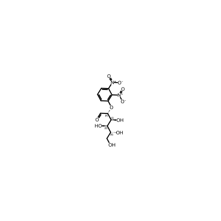 O=C[C@H](Oc1cccc([N+](=O)[O-])c1[N+](=O)[O-])[C@@H](O)[C@H](O)[C@H](O)CO